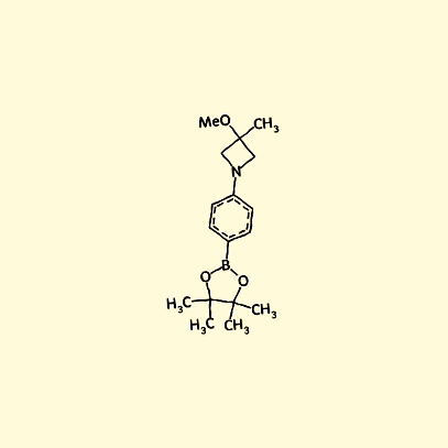 COC1(C)CN(c2ccc(B3OC(C)(C)C(C)(C)O3)cc2)C1